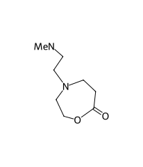 CNCCN1CCOC(=O)CC1